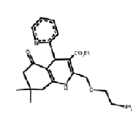 CCOC(=O)C1=C(COCCN)NC2=C(C(=O)CC(C)(C)C2)C1c1ccccn1